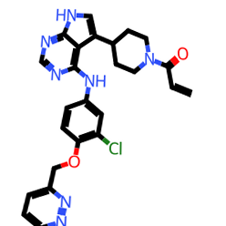 C=CC(=O)N1CCC(c2c[nH]c3ncnc(Nc4ccc(OCc5cccnn5)c(Cl)c4)c23)CC1